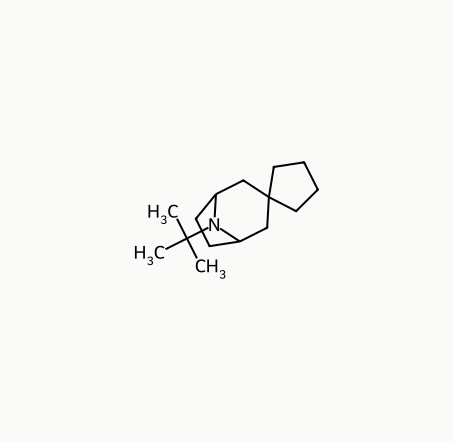 CC(C)(C)N1C2CCC1CC1(CCCC1)C2